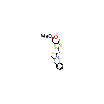 COC(=O)Cc1sc(N=C2SCC3Cc4ccccc4CN23)nc1C